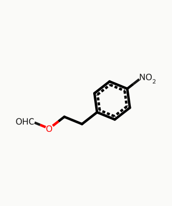 O=COCCc1ccc([N+](=O)[O-])cc1